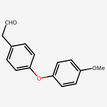 COc1ccc(Oc2ccc(CC=O)cc2)cc1